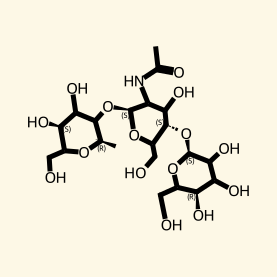 CC(=O)NC1C(O)[C@H](O[C@@H]2OC(CO)[C@H](O)C(O)C2O)C(CO)O[C@H]1OC1C(O)[C@H](O)C(CO)O[C@@H]1C